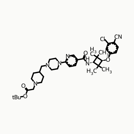 CC(C)(C)OC(=O)CN1CCC(CN2CCN(c3ccc(C(=O)N[C@H]4C(C)(C)[C@H](Oc5ccc(C#N)c(Cl)c5)C4(C)C)cn3)CC2)CC1